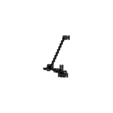 CCCOP(=O)(CCCNCC1CNc2c1nc[nH]c2=O)OCCCCCCCCCCCCCCCCCCCO